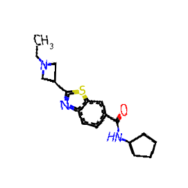 CCN1CC(c2nc3ccc(C(=O)NC4CCCC4)cc3s2)C1